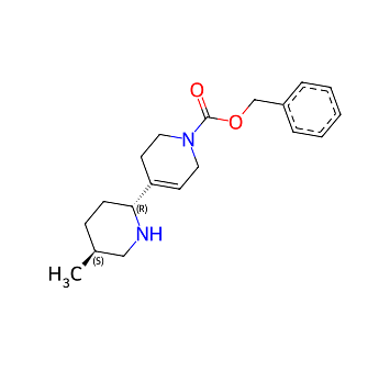 C[C@H]1CC[C@H](C2=CCN(C(=O)OCc3ccccc3)CC2)NC1